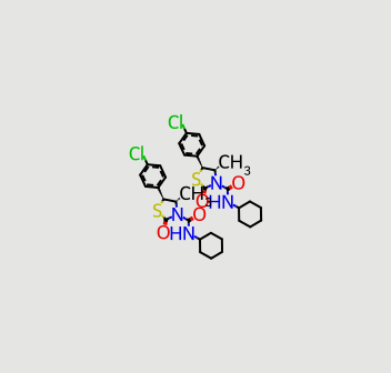 C[C@H]1[C@H](c2ccc(Cl)cc2)SC(=O)N1C(=O)NC1CCCCC1.C[C@H]1[C@H](c2ccc(Cl)cc2)SC(=O)N1C(=O)NC1CCCCC1